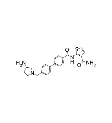 NC(=O)c1ccsc1NC(=O)c1ccc(-c2ccc(CN3CCC(N)C3)cc2)cc1